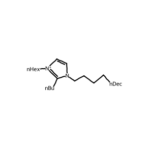 CCCCCCCCCCCCCCn1cc[n+](CCCCCC)c1CCCC